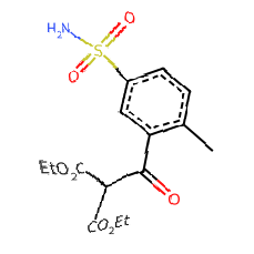 CCOC(=O)C(C(=O)OCC)C(=O)c1cc(S(N)(=O)=O)ccc1C